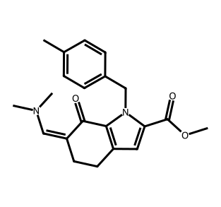 COC(=O)c1cc2c(n1Cc1ccc(C)cc1)C(=O)C(=CN(C)C)CC2